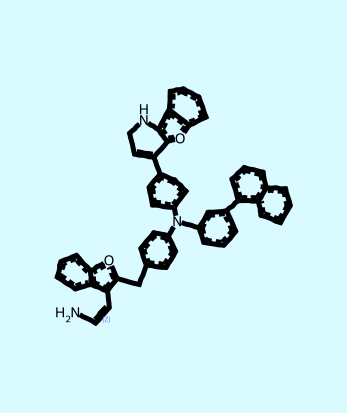 N/C=C\c1c(Cc2ccc(N(c3ccc(C4=CCNc5c4oc4ccccc54)cc3)c3cccc(-c4cccc5ccccc45)c3)cc2)oc2ccccc12